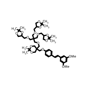 COc1cc(/C=C/c2ccc(OCC3(COCC(COCC4COC(C)(C)O4)(COCC4COC(C)(C)O4)COCC4COC(C)(C)O4)COC(C)(C)OC3)cc2)cc(OC)c1